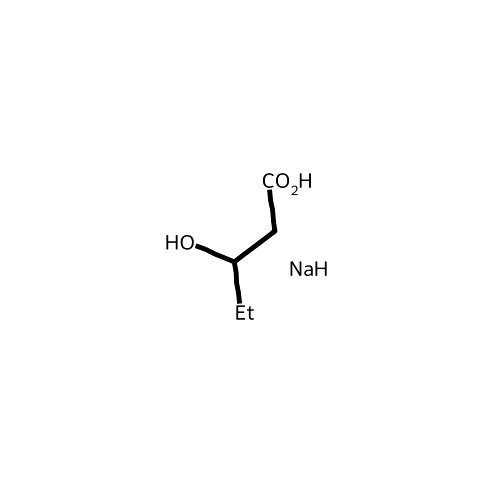 CCC(O)CC(=O)O.[NaH]